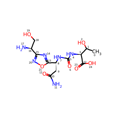 CC(O)[C@H](NC(=O)N[C@H](CC(N)=O)c1nc([C@@H](N)CO)no1)C(=O)O